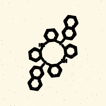 c1ccc2c(c1)Nc1ccccc1P(c1ccc3ccccc3c1)c1ccccc1Nc1ccccc1P2c1ccc2ccccc2c1